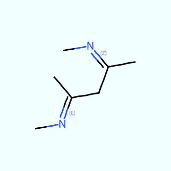 C/N=C(/C)C/C(C)=N/C